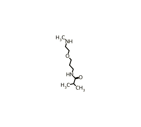 CNCCOCCCNC(=O)C(C)C